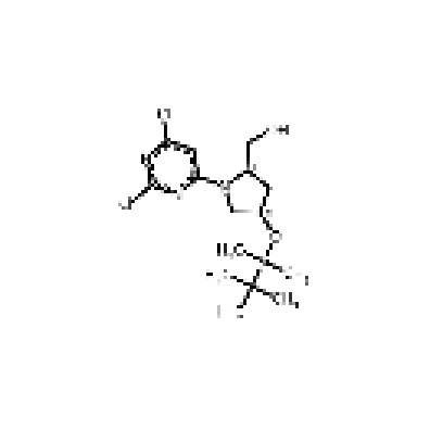 CC(C)(C)[Si](C)(C)O[C@@H]1C[C@H](CO)N(c2cc(Cl)nc(Cl)n2)C1